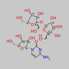 Nc1ccn([C@@H]2O[C@H](CO)[C@@H](O)[C@H]2O)c(=O)n1.OC[C@H]1O[C@@](CO)(O[C@H]2O[C@H](CO)[C@@H](O)[C@H](O)[C@H]2O)[C@@H](O)[C@@H]1O